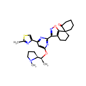 Cc1nc(-c2cc(O[C@@H](C)[C@@H]3CCCN3C)nc(-c3noc4c3CCC[C@@]43CCCCC3=O)n2)cs1